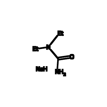 CCN(CC)C(N)=O.[NaH]